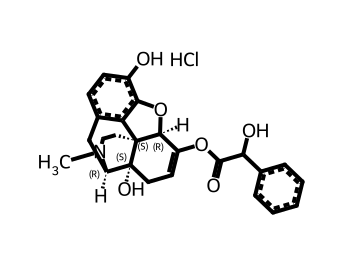 CN1CC[C@]23c4c5ccc(O)c4O[C@H]2C(OC(=O)C(O)c2ccccc2)=CC[C@@]3(O)[C@H]1C5.Cl